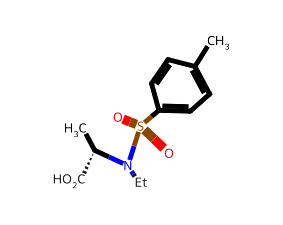 CCN([C@@H](C)C(=O)O)S(=O)(=O)c1ccc(C)cc1